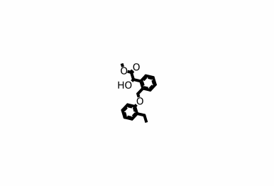 CCc1ccccc1OCc1ccccc1C(O)C(=O)OC